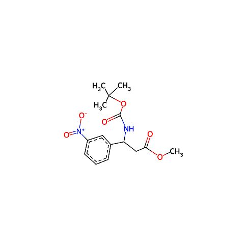 COC(=O)CC(NC(=O)OC(C)(C)C)c1cccc([N+](=O)[O-])c1